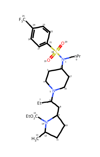 CCCN(C1CCN(C(CC)CC2CCC(C)N2C(=O)OCC)CC1)S(=O)(=O)c1ccc(C(F)(F)F)cc1